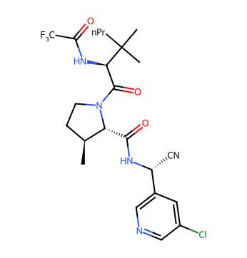 CCCC(C)(C)[C@H](NC(=O)C(F)(F)F)C(=O)N1CC[C@H](C)[C@H]1C(=O)N[C@H](C#N)c1cncc(Cl)c1